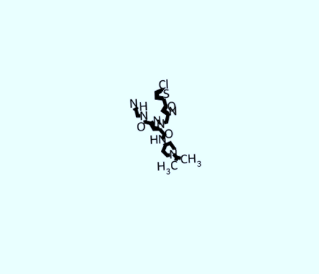 CC(C)N1CCC(NC(=O)c2cc(C(=O)NCC#N)nn2Cc2cc(-c3ccc(Cl)s3)on2)CC1